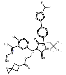 CC(C)(C)C[C@]1(c2ccc(-c3cnn(C(F)F)c3)cc2)NC(=N)N([C@H](COC(=O)N2CC3(CC3)C2)c2ccc(Cl)c(/C(N)=N/C=N)c2)C1=O